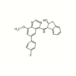 COc1cc(-c2ccc(F)cc2)cc2c(N[C@@H]3c4ccccc4C[C@@H]3O)ncnc12